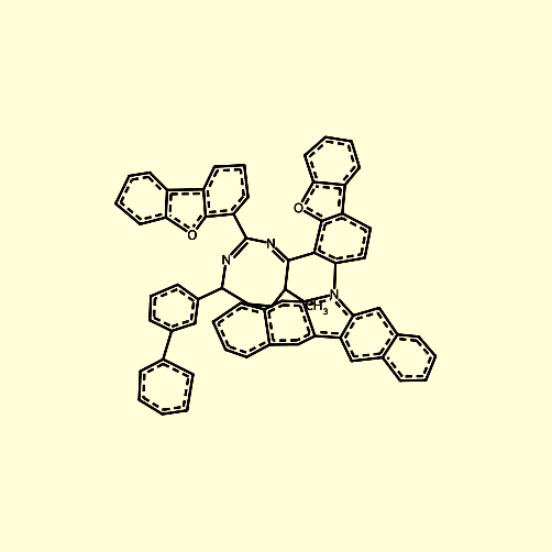 CC1CCC(c2cccc(-c3ccccc3)c2)/N=C(c2cccc3c2oc2ccccc23)\N=C/1c1c(-n2c3cc4ccccc4cc3c3cc4ccccc4cc32)ccc2c1oc1ccccc12